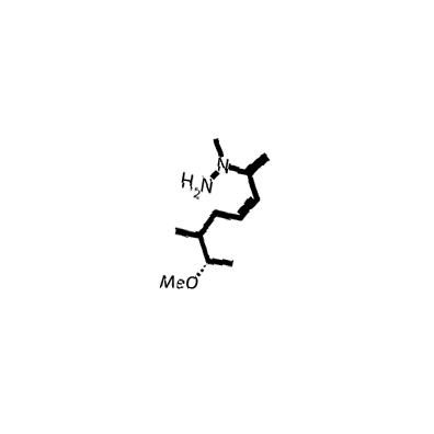 C=C(/C=C\CC(C)[C@H](C)OC)N(C)N